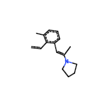 C=Cc1c(C)cccc1/C=C(\C)N1CCCC1